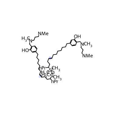 CCCC(CC/C=C\CCCCCCCc1ccc(CN(C)CCCNC)c(O)c1)[Si](C)(C)O[Si](C)(C)C(CCC)CC/C=C/CCCCCCCc1ccc(CN(C)CCCNC)c(O)c1